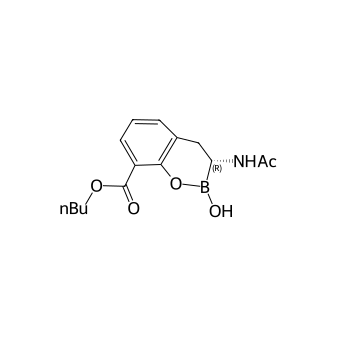 CCCCOC(=O)c1cccc2c1OB(O)[C@@H](NC(C)=O)C2